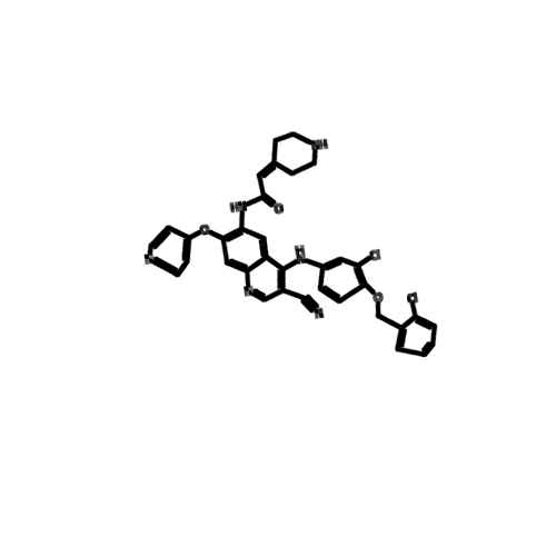 N#Cc1cnc2cc(Oc3ccncc3)c(NC(=O)C=C3CCNCC3)cc2c1Nc1ccc(OCc2ccccc2Cl)c(Cl)c1